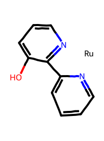 Oc1cccnc1-c1ccccn1.[Ru]